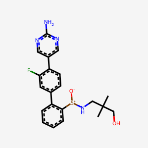 CC(C)(CO)CN[S+]([O-])c1ccccc1-c1ccc(-c2cnc(N)nc2)c(F)c1